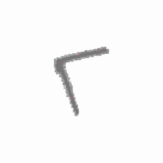 CCCCCCCCCCCCCCCCCCCCCCc1ccc2c(c1)-c1cc(CCCCCCCCCCCCCCCCCCCCCC)ccc1C2